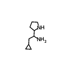 NC(CC1CC1)C1CCCN1